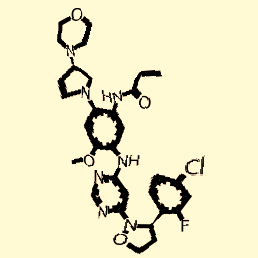 C=CC(=O)Nc1cc(Nc2cc(N3OCC[C@@H]3c3ccc(Cl)cc3F)ncn2)c(OC)cc1N1CC[C@@H](N2CCOCC2)C1